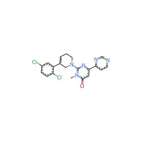 Cn1c(N2CCC=C(c3cc(Cl)ccc3Cl)C2)nc(-c2ccncn2)cc1=O